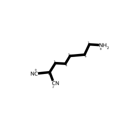 N#CC(C#N)CCCCCN